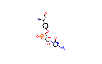 N#CC(CC=O)c1ccc(OC[C@H]2O[C@@H](n3ccc(N)nc3=O)[C@H](O)[C@@H]2O[PH](=O)O)cc1